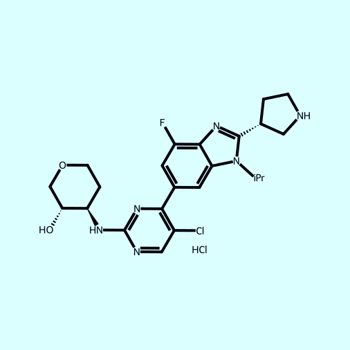 CC(C)n1c([C@@H]2CCNC2)nc2c(F)cc(-c3nc(N[C@@H]4CCOC[C@H]4O)ncc3Cl)cc21.Cl